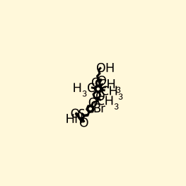 Cc1c(C)c2c(c(C)c1OC(=O)CCCO)CCC(C)(COc1ccc(/C=C3\SC(=O)NC3=O)cc1Br)O2